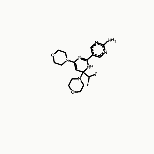 Nc1ncc(C2=NC(N3CCOCC3)=CC(C(F)F)(N3CCOCC3)N2)cn1